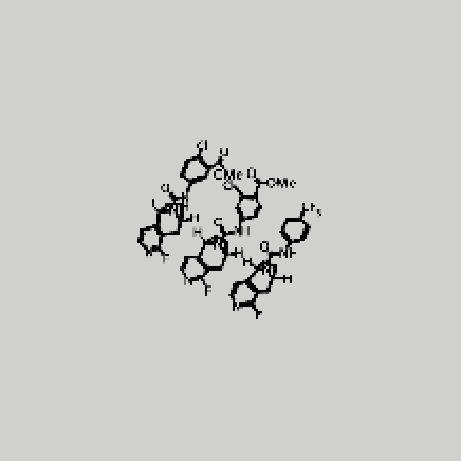 COC(=O)c1cc(NC(=O)N2[C@@H]3CC[C@H]2c2ccnc(F)c2C3)ccc1Cl.COC(=O)c1ccc(NC(=O)N2[C@@H]3CC[C@H]2c2ccnc(F)c2C3)cc1Cl.O=C(Nc1ccc(C(F)(F)F)cc1)N1[C@@H]2CC[C@H]1c1ccnc(F)c1C2